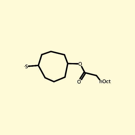 [CH2]CCCCCCCCC(=O)OC1CCCC([S])CCC1